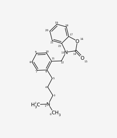 CN(C)CCCc1[c]cccc1Cn1c(=O)oc2ccccc21